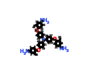 Cc1cc(N)ccc1Oc1ccc(N(c2ccc(Oc3ccc(N)cc3C)cc2)c2ccc(Oc3ccc(N)cc3C)cc2)cc1